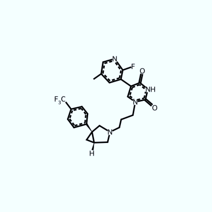 Cc1cnc(F)c(-c2cn(CCCN3C[C@@H]4C[C@]4(c4ccc(C(F)(F)F)cc4)C3)c(=O)[nH]c2=O)c1